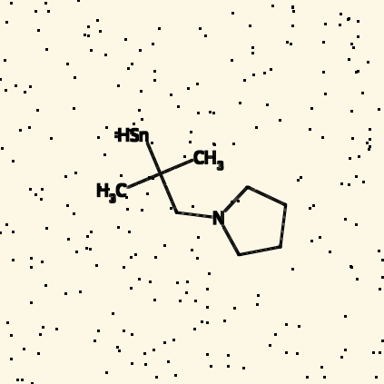 C[C](C)([SnH])CN1CCCC1